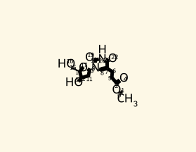 CCOC(=O)CCc1cn([C@@H]2CC(O)[C@@H](CO)O2)c(=O)[nH]c1=O